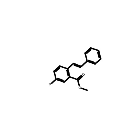 COC(=O)c1cc(F)ccc1C=Cc1ccccc1